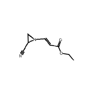 CCOC(=O)C=CN1CC1C#N